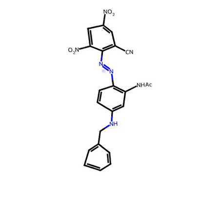 CC(=O)Nc1cc(NCc2ccccc2)ccc1/N=N/c1c(C#N)cc([N+](=O)[O-])cc1[N+](=O)[O-]